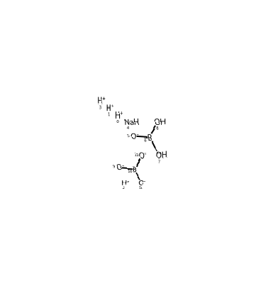 [H+].[H+].[H+].[H+].[NaH].[O-]B(O)O.[O-]B([O-])[O-]